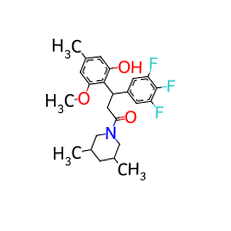 COc1cc(C)cc(O)c1C(CC(=O)N1CC(C)CC(C)C1)c1cc(F)c(F)c(F)c1